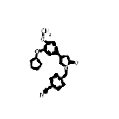 COc1ccc(C2CC(=O)N(Cc3ccc(C#N)cc3)C2)cc1OC1CCCC1